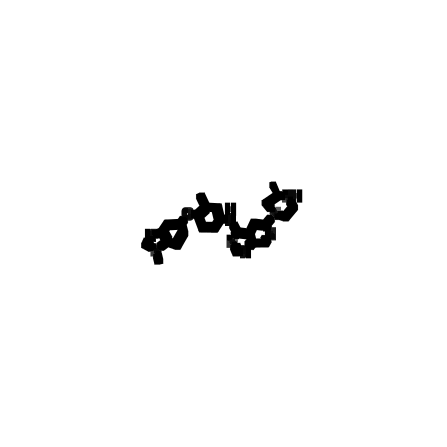 Cc1cc(Nc2ncnc3cnc(N4CCN[C@H](C)C4)cc23)ccc1Oc1ccc2c(c1)ncn2C